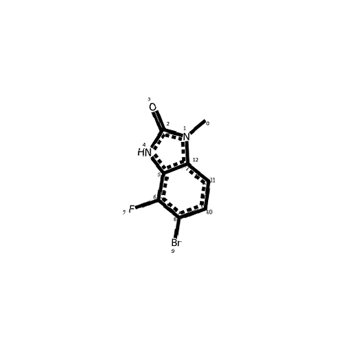 Cn1c(=O)[nH]c2c(F)c(Br)ccc21